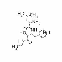 CCNC(=O)C(O)C(Cc1ccccc1)NC(=O)C(N)CC(C)C.Cl